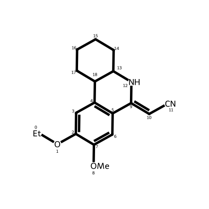 CCOc1cc2c(cc1OC)C(=CC#N)NC1CCCCC21